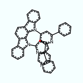 c1ccc(-c2cc(-n3c4ccccc4c4ccc5c6ccccc6n(-c6cccc(-c7ccccn7)n6)c5c43)cc(-c3ccccc3)n2)cc1